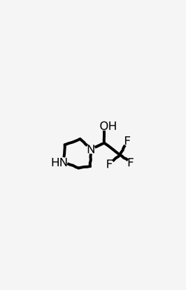 OC(N1CCNCC1)C(F)(F)F